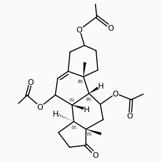 CC(=O)OC1CC[C@@]2(C)C(=CC(OC(C)=O)[C@@H]3[C@H]2C(OC(C)=O)C[C@]2(C)C(=O)CC[C@@H]32)C1